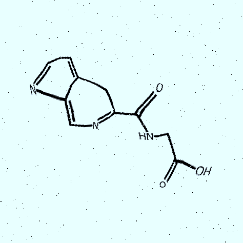 O=C(O)CNC(=O)C1=NC=C2N=CC=C2C1